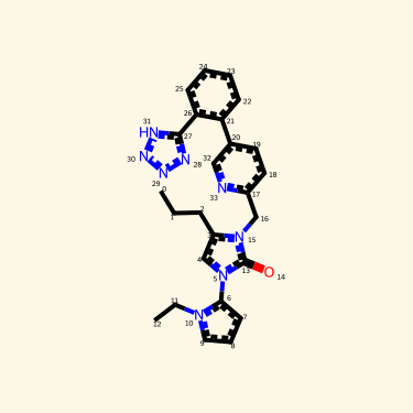 CCCc1cn(-c2cccn2CC)c(=O)n1Cc1ccc(-c2ccccc2-c2nnn[nH]2)cn1